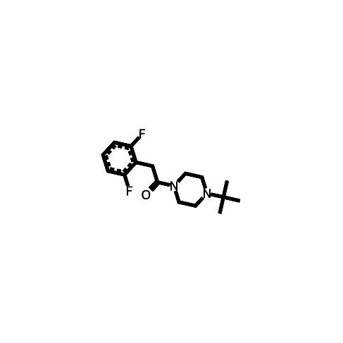 CC(C)(C)N1CCN(C(=O)Cc2c(F)cccc2F)CC1